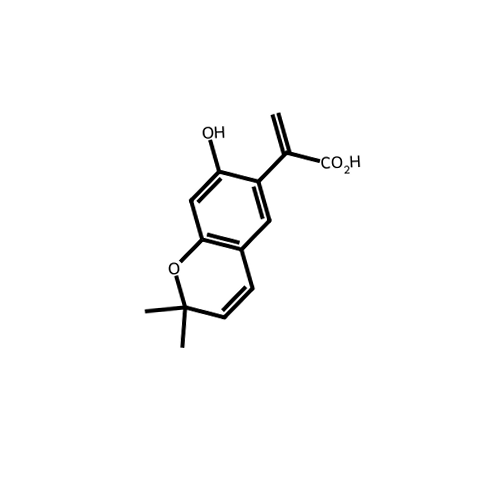 C=C(C(=O)O)c1cc2c(cc1O)OC(C)(C)C=C2